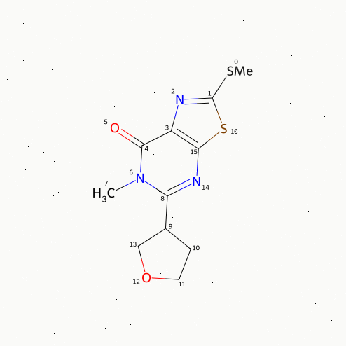 CSc1nc2c(=O)n(C)c(C3CCOC3)nc2s1